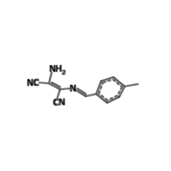 Cc1ccc(C=N/C(C#N)=C(\N)C#N)cc1